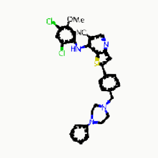 COc1cc(Nc2c(C#N)cnc3cc(-c4ccc(CN5CCN(c6ccccc6)CC5)cc4)sc23)c(Cl)cc1Cl